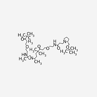 CC(CCC(C)(C)C(=O)CCOCCNC(=O)CCN1CCC[C@H]1COC(C)(C)C)N1CC(C)(NCCOCCC(=O)C(C)(C)C)C1